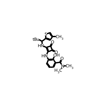 Cc1csc(C(Nc2c(Nc3cccc(C(=O)N(C)C)c3O)c(=O)c2=O)C(C)(C)C)c1